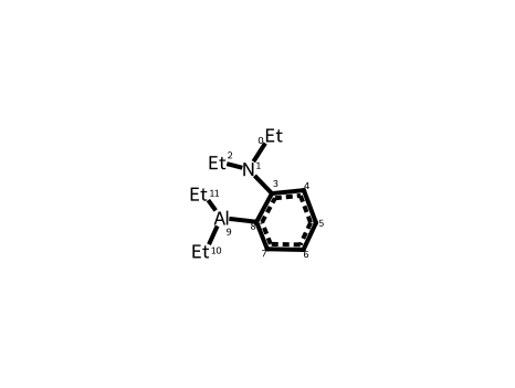 CCN(CC)c1cccc[c]1[Al]([CH2]C)[CH2]C